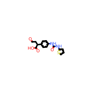 O=CCC(C(=O)O)c1ccc(NC(=O)Nc2cccs2)cc1